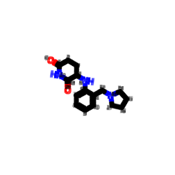 O=C1CCC(Nc2ccccc2CN2CCCC2)C(=O)N1